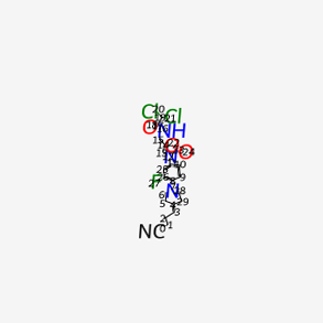 N#CCCC=C1CCN(c2ccc(N3CC(CNC(=O)C(Cl)Cl)OC3=O)cc2F)CC1